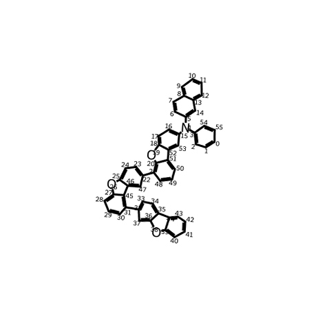 c1ccc(N(c2ccc3ccccc3c2)c2ccc3oc4c(-c5ccc6oc7cccc(-c8ccc9c(c8)oc8ccccc89)c7c6c5)cccc4c3c2)cc1